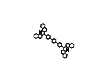 C1=Cc2c(ccc3c(-c4ccc(-c5ccc(-c6ccc(-c7c8ccc9c(c8nc8c%10c(ccc78)CCC=C%10)C=CCC9)cc6)cc5)cc4)c4ccc5c(c4nc23)C=CCC5)CC1